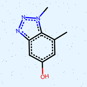 Cc1cc(O)cc2nnn(C)c12